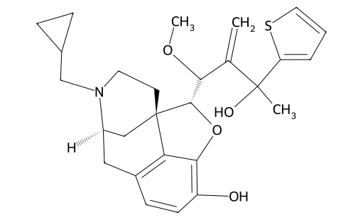 C=C(C(OC)[C@@H]1Oc2c(O)ccc3c2[C@@]12CCN(CC1CC1)[C@H](C3)C2)C(C)(O)c1cccs1